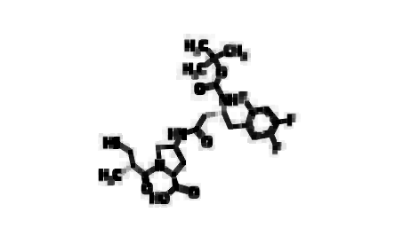 C[C@H](CS)C(=O)N1CC(NC(=O)C[C@@H](Cc2cc(F)c(F)cc2F)NC(=O)OC(C)(C)C)C[C@H]1C(=O)O